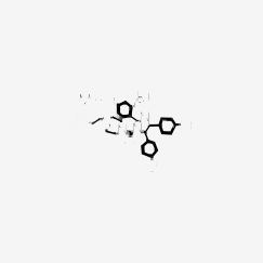 CCOc1cc(OC)ccc1C1=NC(c2ccc(Br)cc2)C(c2ccc(Br)cc2)N1C(=O)N1CCN(CCO)CC1